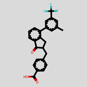 Cc1cc(-c2cccc3c2CC(Cc2ccc(C(=O)O)cc2)C3=O)cc(C(F)(F)F)c1